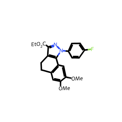 CCOC(=O)c1nn(-c2ccc(F)cc2)c2c1CCc1cc(OC)c(OC)cc1-2